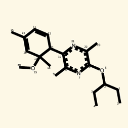 CCC(CC)Oc1nc(C)c(C2C=CC(C)=CC2(C)OC)nc1C